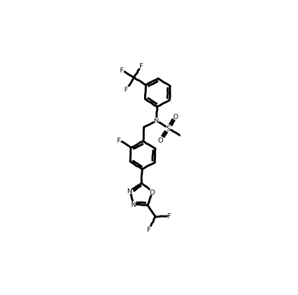 CS(=O)(=O)N(Cc1ccc(-c2nnc(C(F)F)o2)cc1F)c1cccc(C(F)(F)F)c1